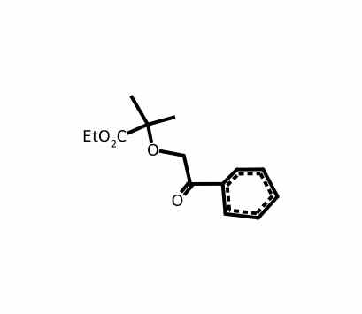 CCOC(=O)C(C)(C)OCC(=O)c1ccccc1